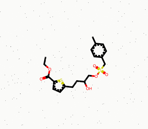 CCOC(=O)c1ccc(CCC(O)COS(=O)(=O)Cc2ccc(C)cc2)s1